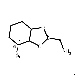 CC(C)[C@@H]1CCCC2OB(CN)OC21